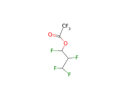 O=C(OC(F)C(F)C(F)F)C(F)(F)F